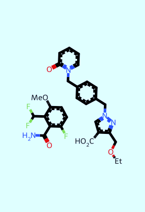 CCOCc1nn(Cc2ccc(Cn3ccccc3=O)cc2)cc1C(=O)O.COc1ccc(F)c(C(N)=O)c1C(F)F